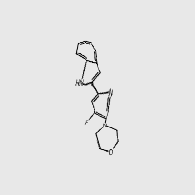 Fc1cc(-c2cc3ccccc3[nH]2)ncc1N1CCOCC1